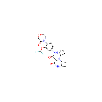 NC(=O)[C@H](C(=O)Nc1ccc(N2CCOCC2=O)c(OC(F)F)c1)N(C1CCC1)C1CCC1